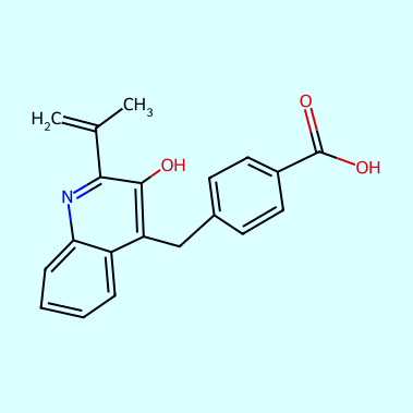 C=C(C)c1nc2ccccc2c(Cc2ccc(C(=O)O)cc2)c1O